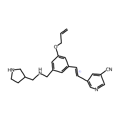 C=CCOc1cc(/C=C/c2cncc(C#N)c2)cc(CNCC2CCNC2)c1